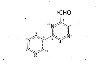 O=Cc1cncc(-c2ccccc2)n1